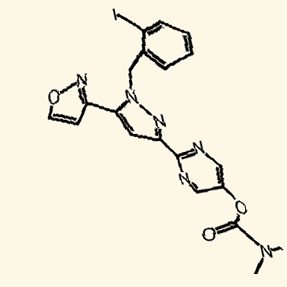 CN(C)C(=O)Oc1cnc(-c2cc(-c3ccon3)n(Cc3ccccc3I)n2)nc1